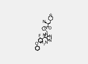 CN1CCC(C=C(C#N)C(=O)N2CCC[C@@H]2Cn2nc(-c3ccc(Oc4ccccc4)cc3F)c3c(N)ncnc32)CC1